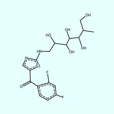 CC(CO)C(O)C(O)C(O)C(O)CNc1ncc(C(=O)c2ccc(F)cc2F)s1